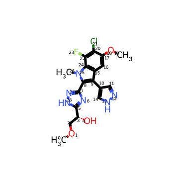 COC[C@@H](O)c1nc(-c2c(-c3cn[nH]c3)c3cc(OC)c(Cl)c(F)c3n2C)n[nH]1